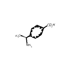 C[C@H](N)c1ccc(C(=O)O)cc1